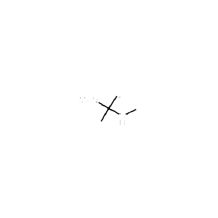 CBC(C)(C)NC